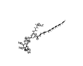 C#CC#CC#CC#CC#CC#CC#CC(=O)OC[C@H](COP(=O)(O)OC1C(O)[C@H](OP(=O)(O)O)[C@H](O)C(O)[C@@H]1O)OC(=O)CCCCCCCCCCCCCCC